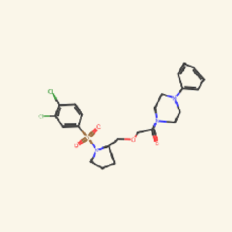 O=C(COCC1CCCN1S(=O)(=O)c1ccc(Cl)c(Cl)c1)N1CCN(c2ccccc2)CC1